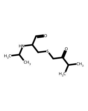 CC(C)NC(C=O)CSCC(=O)C(C)C